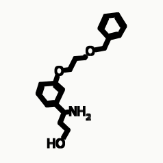 NC(CCO)c1cccc(OCCCOCc2ccccc2)c1